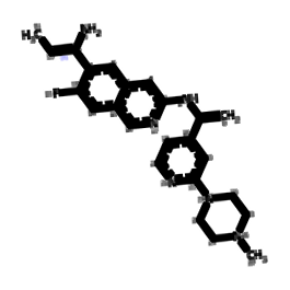 C=C(Nc1cc2cc(/C(N)=C/C)c(F)cc2cn1)c1ccnc(N2CCN(C)CC2)c1